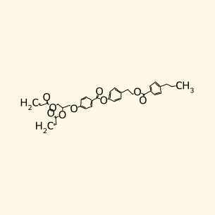 C=CC(=O)OCC(COc1ccc(C(=O)Oc2ccc(CCOC(=O)c3ccc(CCC)cc3)cc2)cc1)OC(=O)C=C